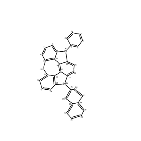 c1ccc(-n2c3cccc4sc5cccc6c5c5c(c43)c2ccc5n6-c2ncc3ccccc3n2)cc1